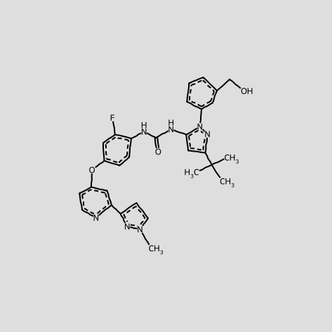 Cn1ccc(-c2cc(Oc3ccc(NC(=O)Nc4cc(C(C)(C)C)nn4-c4cccc(CO)c4)c(F)c3)ccn2)n1